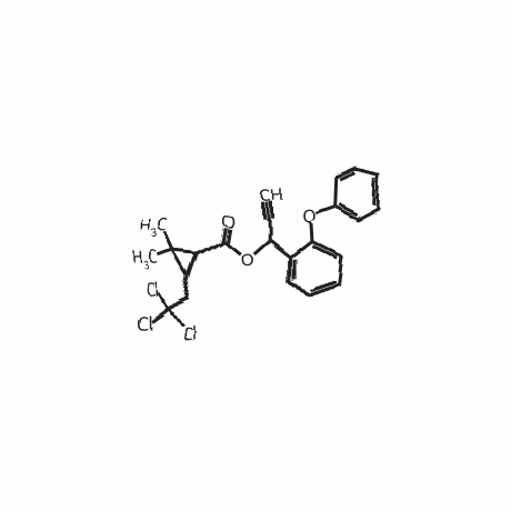 C#CC(OC(=O)C1C(CC(Cl)(Cl)Cl)C1(C)C)c1ccccc1Oc1ccccc1